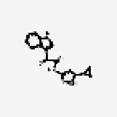 O=C(Nc1cc(C2CC2)[nH]n1)C(=O)c1c[nH]c2ccccc12